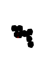 c1ccc(-c2ccc(-n3c4ccccc4c4cc5c(cc43)c3ccccc3n5-c3cccc4c5ccccc5n(-c5ccccc5)c34)cc2)cc1